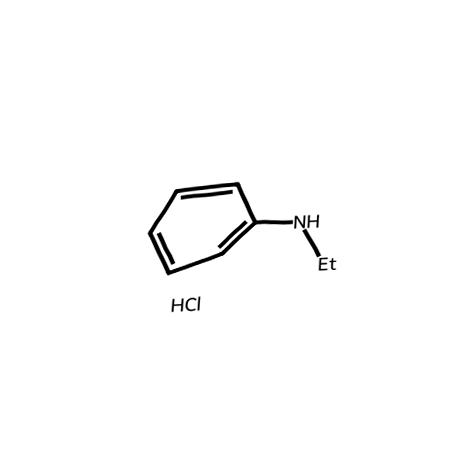 CCNc1ccccc1.Cl